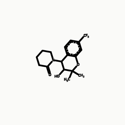 CC1(C)Oc2cc(C(F)(F)F)ccc2C(N2CCCCC2=O)C1O